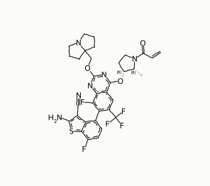 C=CC(=O)N1CC[C@@H](Oc2nc(OCC34CCCN3CCC4)nc3c(F)c(-c4ccc(F)c5sc(N)c(C#N)c45)c(C(F)(F)F)cc23)[C@H]1C